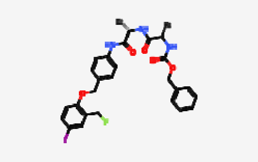 CCC(NC(=O)OCc1ccccc1)C(=O)N[C@@H](CC)C(=O)Nc1ccc(COc2ccc(I)cc2CF)cc1